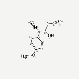 [C-]#[N+]C(c1ccc(OC)cc1)C(O)CC#C